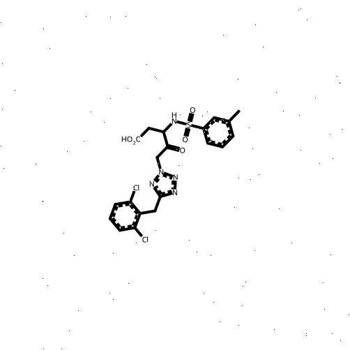 Cc1cccc(S(=O)(=O)NC(CC(=O)O)C(=O)Cn2nnc(Cc3c(Cl)cccc3Cl)n2)c1